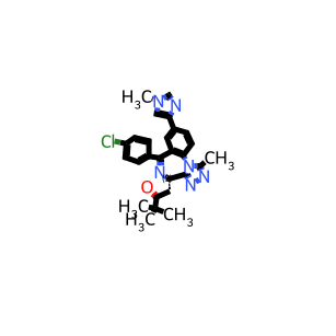 Cc1nnc2n1-c1ccc(-c3cn(C)cn3)cc1C(c1ccc(Cl)cc1)=N[C@H]2CC(=O)C(C)(C)C